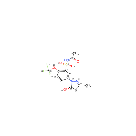 CC(=O)NS(=O)(=O)c1cc(N2N=C(C)CC2=O)ccc1OC(F)(F)F